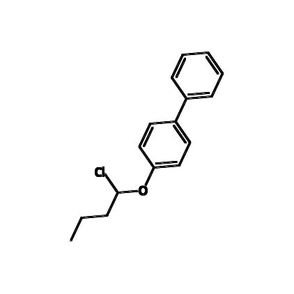 CCCC(Cl)Oc1ccc(-c2ccccc2)cc1